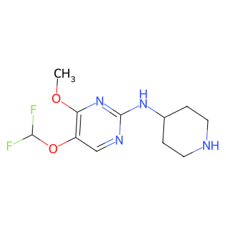 COc1nc(NC2CCNCC2)ncc1OC(F)F